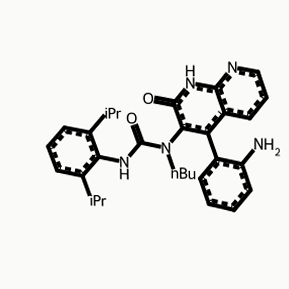 CCCCN(C(=O)Nc1c(C(C)C)cccc1C(C)C)c1c(-c2ccccc2N)c2cccnc2[nH]c1=O